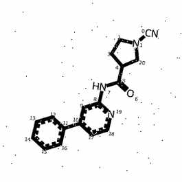 N#CN1CCC(C(=O)Nc2cc(-c3ccccc3)ccn2)C1